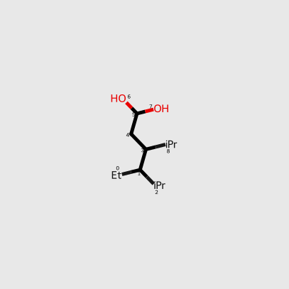 CCC(C(C)C)C(CC(O)O)C(C)C